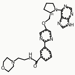 O=C(NCCN1CCOCC1)c1cccc(-c2ncc(OC[C@H]3CCCN3c3ncnc4[nH]cnc34)cn2)c1